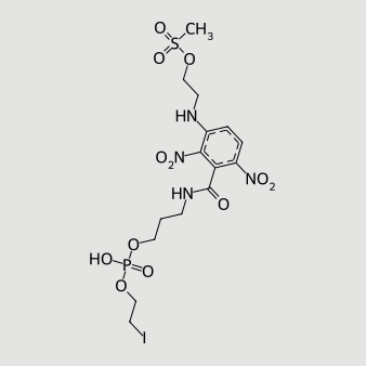 CS(=O)(=O)OCCNc1ccc([N+](=O)[O-])c(C(=O)NCCCOP(=O)(O)OCCI)c1[N+](=O)[O-]